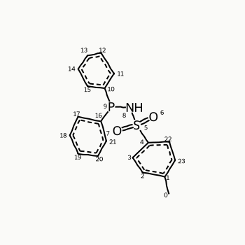 Cc1ccc(S(=O)(=O)NP(c2ccccc2)c2ccccc2)cc1